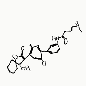 Cc1cc(-c2cccc(NC(=O)CCCN(C)C)c2)c(Cl)cc1C1=C(O)C2(CCCCC2)OC1=O